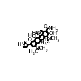 CN(C)c1cc(-c2cc[nH]n2)c(O)c2c1C[C@H]1C[C@H]3[C@H](N(C)C)C(O)=C(C(N)=O)C4=CP[C@@]43C(O)=C1C2=O